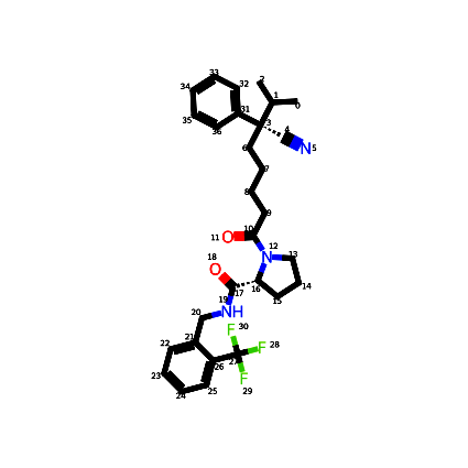 CC(C)[C@@](C#N)(CCCCC(=O)N1CCC[C@@H]1C(=O)NCc1ccccc1C(F)(F)F)c1ccccc1